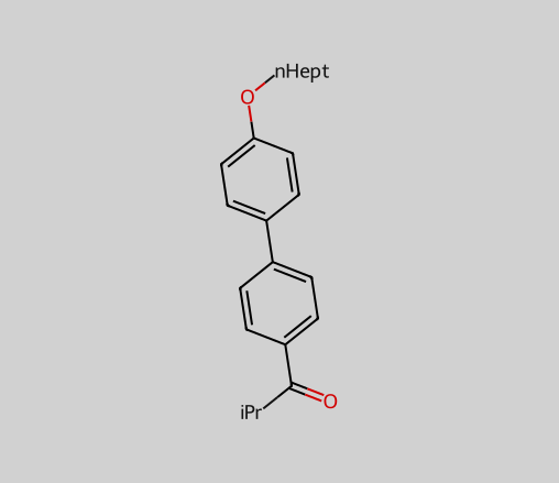 CCCCCCCOc1ccc(-c2ccc(C(=O)C(C)C)cc2)cc1